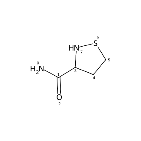 NC(=O)C1CCSN1